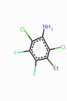 CCc1c(F)c(F)c(Cl)c(N)c1Cl